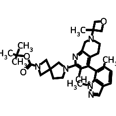 Cc1ccc2cnn(C)c2c1-c1c(C)c(N2CCC3(CN(C(=O)OC(C)(C)C)C3)C2)nc2c1CCN(C1(C)COC1)C2